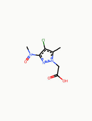 Cc1c(Cl)c([N+](C)=O)nn1CC(=O)O